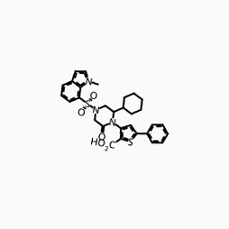 Cn1ccc2cccc(S(=O)(=O)N3CC(=O)N(c4cc(-c5ccccc5)sc4C(=O)O)C(C4CCCCC4)C3)c21